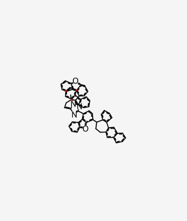 CC1C/C=C(n2c3ccccc3c3ccccc32)/N=C(c2ccc(C3CCc4cc5ccccc5cc4-c4ccccc43)c3oc4ccccc4c23)\N=C/1c1cccc2oc3ccccc3c12